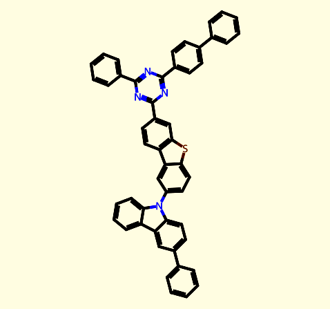 c1ccc(-c2ccc(-c3nc(-c4ccccc4)nc(-c4ccc5c(c4)sc4ccc(-n6c7ccccc7c7cc(-c8ccccc8)ccc76)cc45)n3)cc2)cc1